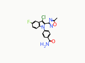 Cc1nc(-c2c(Cl)c3cc(F)ccc3n2-c2ccc(C(N)=O)cc2)no1